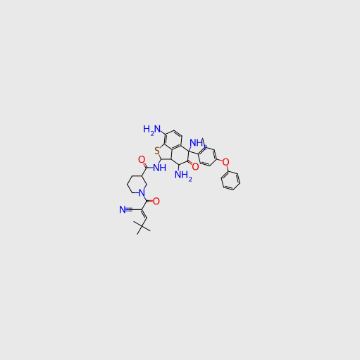 Cc1cc(Oc2ccccc2)ccc1C1(N)C(=O)C(N)C2c3c1ccc(N)c3SC2NC(=O)C1CCCN(C(=O)/C(C#N)=C/C(C)(C)C)C1